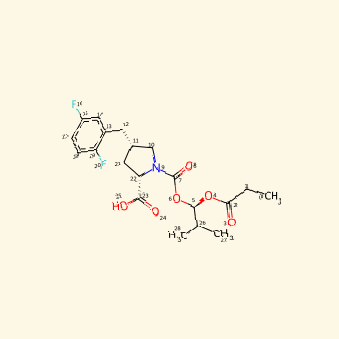 CCC(=O)O[C@H](OC(=O)N1C[C@@H](Cc2cc(F)ccc2F)C[C@H]1C(=O)O)C(C)C